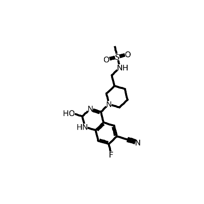 CS(=O)(=O)NCC1CCCN(C2=NC(O)Nc3cc(F)c(C#N)cc32)C1